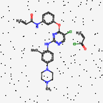 C=CC(=O)Cl.C=CC(=O)Nc1cccc(Oc2nc(Nc3ccc(N4CCN(C)CC4)cc3OC)ncc2Cl)c1